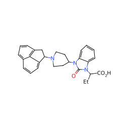 CCC(C(=O)O)n1c(=O)n(C2CCN(C3Cc4cccc5cccc3c45)CC2)c2ccccc21